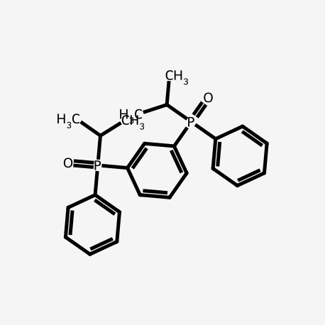 CC(C)P(=O)(c1ccccc1)c1cccc(P(=O)(c2ccccc2)C(C)C)c1